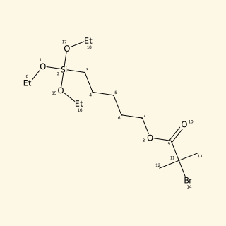 CCO[Si](CCCCCOC(=O)C(C)(C)Br)(OCC)OCC